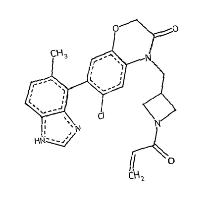 C=CC(=O)N1CC(CN2C(=O)COc3cc(-c4c(C)ccc5[nH]cnc45)c(Cl)cc32)C1